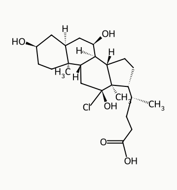 C[C@H](CCC(=O)O)[C@H]1CC[C@H]2[C@@H]3[C@H](O)C[C@@H]4C[C@H](O)CC[C@]4(C)[C@H]3C[C@@](O)(Cl)[C@]12C